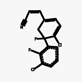 N#C/C=C\C1=CC=C(Cl)C(F)(c2cccc(Cl)c2F)C1